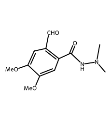 COc1cc(C=O)c(C(=O)NN(C)C)cc1OC